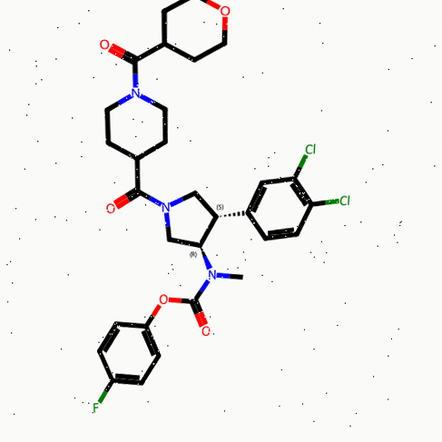 CN(C(=O)Oc1ccc(F)cc1)[C@H]1CN(C(=O)C2CCN(C(=O)C3CCOCC3)CC2)C[C@@H]1c1ccc(Cl)c(Cl)c1